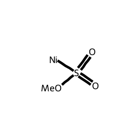 CO[S](=O)(=O)[Ni]